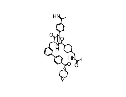 CC(=N)c1ccc(NC(=O)[C@H](Cc2cccc(-c3ccc(C(=O)N4CCN(C)CC4)cc3)c2)NC(=O)C2CCC(CNC(=O)I)CC2)cc1